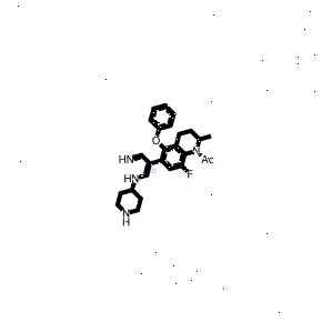 CC(=O)N1c2c(F)cc(/C(C=N)=C/NC3CCNCC3)c(Oc3ccccc3)c2CCC1C